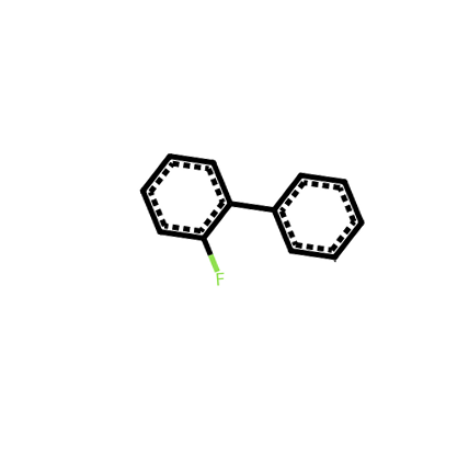 Fc1ccccc1-c1c[c]ccc1